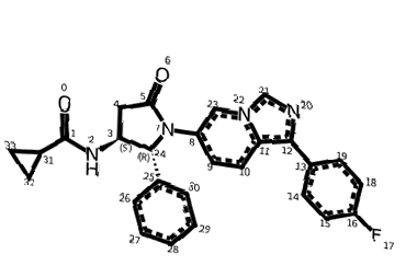 O=C(N[C@H]1CC(=O)N(c2ccc3c(-c4ccc(F)cc4)ncn3c2)[C@@H]1c1ccccc1)C1CC1